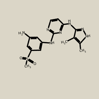 Cc1[nH]nc(Nc2ccnc(Nc3cc(N)cc(S(C)(=O)=O)c3)n2)c1C